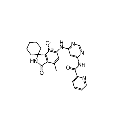 Cc1cc(Nc2cc(NC(=O)c3ccccn3)ncn2)[n+]([O-])c2c1C(=O)NC21CCCCC1